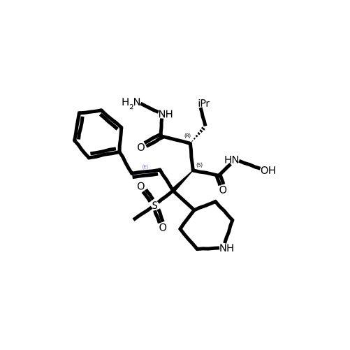 CC(C)C[C@@H](C(=O)NN)[C@@H](C(=O)NO)C(/C=C/c1ccccc1)(C1CCNCC1)S(C)(=O)=O